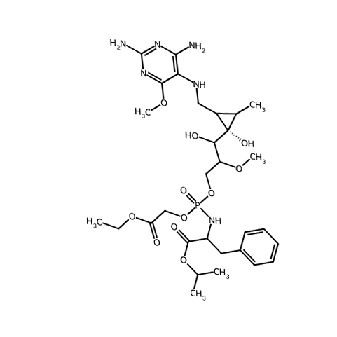 CCOC(=O)COP(=O)(NC(Cc1ccccc1)C(=O)OC(C)C)OCC(OC)C(O)[C@]1(O)C(C)C1CNc1c(N)nc(N)nc1OC